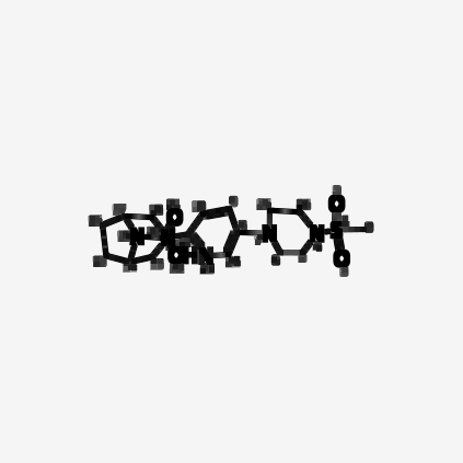 CS(=O)(=O)N1CCN(c2ccc(N3CC4CCC(C3)N4C(=O)O)nc2)CC1